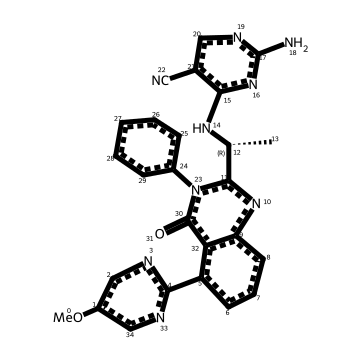 COc1cnc(-c2cccc3nc([C@@H](C)Nc4nc(N)ncc4C#N)n(-c4ccccc4)c(=O)c23)nc1